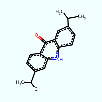 CC(C)c1ccc2c(=O)c3cc(C(C)C)ccc3[nH]c2c1